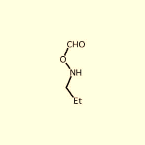 CCCNOC=O